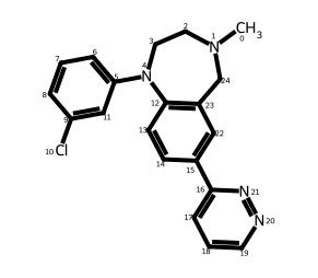 CN1CCN(c2cccc(Cl)c2)c2ccc(-c3cccnn3)cc2C1